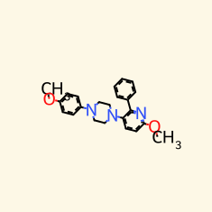 COc1ccc(N2CCN(c3ccc(OC)nc3-c3ccccc3)CC2)cc1